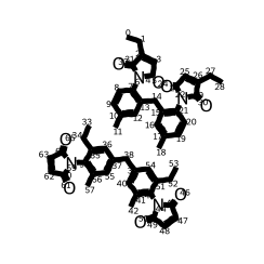 CCC1=CC(=O)N(c2ccc(C)cc2Cc2cc(C)ccc2N2C(=O)C=C(CC)C2=O)C1=O.CCc1cc(Cc2cc(C)c(N3C(=O)C=CC3=O)c(CC)c2)cc(C)c1N1C(=O)C=CC1=O